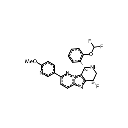 COc1ccc(-c2ccc3nc4c(n3n2)[C@H](c2ccccc2OC(F)F)NC[C@@H]4F)cn1